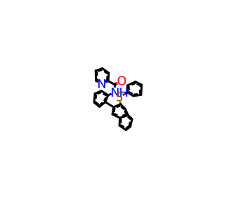 O=C(Nc1ccccc1-c1cc2ccccc2cc1Sc1ccccc1)c1ccccn1